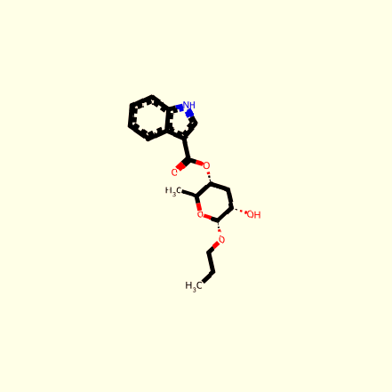 CCCO[C@@H]1OC(C)[C@H](OC(=O)c2c[nH]c3ccccc23)C[C@@H]1O